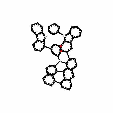 c1ccc(-c2cccc3cccc(-c4ccccc4N(c4cccc(-c5cccc6c5oc5ccccc56)c4)c4ccccc4-c4ccc5c(c4)c4ccccc4n5-c4ccccc4)c23)cc1